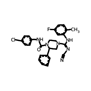 Cc1ccc(F)cc1N/C(=N/C#N)N1CCN(C(=O)Nc2ccc(Cl)cc2)C(c2ccccc2)C1